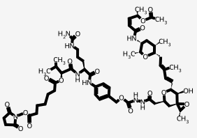 CC(=O)O[C@@H](C)/C=C\C(=O)N[C@@H]1C[C@H](C)[C@H](C/C=C(C)/C=C/[C@H]2O[C@H](CC(=O)NNC(=O)OCc3ccc(NC(=O)[C@H](CCCNC(N)=O)NC(=O)[C@@H](OC(=O)CCCCCC(=O)ON4C(=O)CCC4=O)C(C)C)cc3)C[C@]3(O[C@@H]3C)[C@@H]2O)O[C@@H]1C